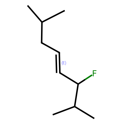 CC(C)C/C=C/C(F)C(C)C